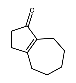 O=C1CCC2=C1CCCCC2